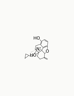 C=C1CCC2(O)C3Cc4c(O)ccc5c4[C@@]2(CC[N@@+]3(C)CC2CC2)C1O5